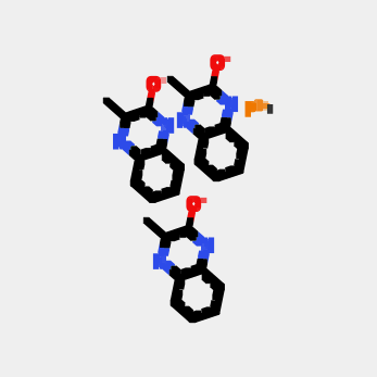 Cc1nc2ccccc2nc1[O-].Cc1nc2ccccc2nc1[O-].Cc1nc2ccccc2nc1[O-].[P+3]